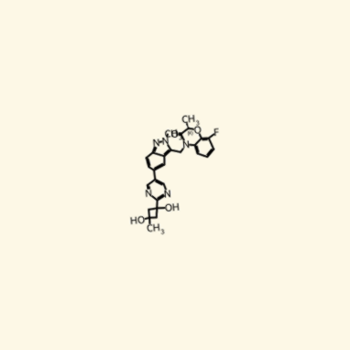 C[C@H]1Oc2c(F)cccc2N(Cc2c3cc(-c4cnc(C5(O)CC(C)(O)C5)nc4)ccc3nn2C)C1=O